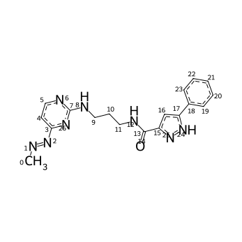 CN=Nc1ccnc(NCCCNC(=O)c2cc(-c3ccccc3)[nH]n2)n1